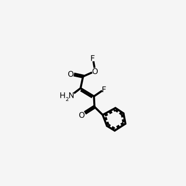 NC(C(=O)OF)=C(F)C(=O)c1ccccc1